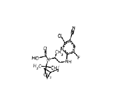 C[C@@H]([C@@H](CC1CC1)Nc1nc(Cl)c(C#N)cc1F)N(C(=O)O)C(C)(C)C